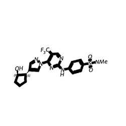 CNS(=O)(=O)c1ccc(Nc2ncc(C(F)(F)F)c(-n3cc([C@@H]4CCC[C@H]4O)cn3)n2)cc1